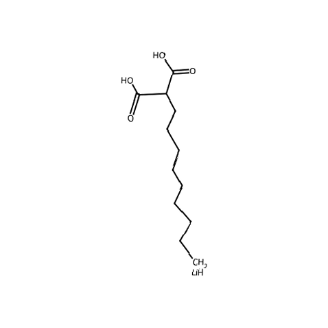 CCCCCCCCCC(C(=O)O)C(=O)O.[LiH]